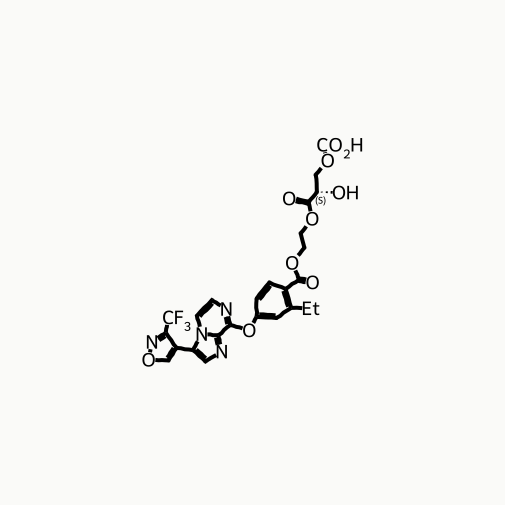 CCc1cc(Oc2nccn3c(-c4conc4C(F)(F)F)cnc23)ccc1C(=O)OCCOC(=O)[C@@H](O)COC(=O)O